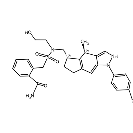 C[C@H]1C2=CNN(c3ccc(F)cc3)C2=CC2=C1[C@@H](CN(CCO)S(=O)(=O)Cc1ccccc1C(N)=O)CC2